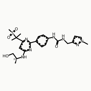 C[C@@H](CO)Nc1cc(C(C)(C)S(C)(=O)=O)nc(-c2ccc(NC(=O)NCc3ccn(C)n3)cc2)n1